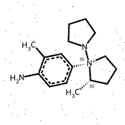 Cc1cc([N@+]2(N3CCCC3)CCC[C@@H]2C)ccc1N